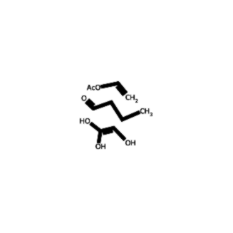 C=COC(C)=O.CCCC=O.OC=C(O)O